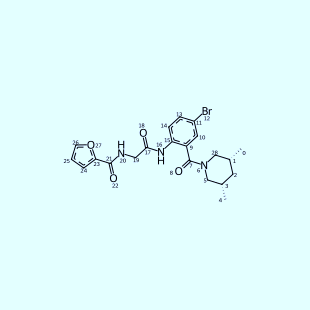 C[C@@H]1C[C@H](C)CN(C(=O)c2cc(Br)ccc2NC(=O)CNC(=O)c2ccco2)C1